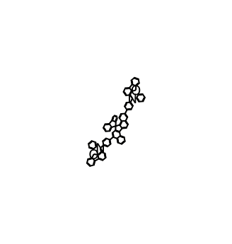 c1ccc(N(c2ccc(-c3ccc4c5c(ccc4c3)-c3c(cc(-c4ccc(N(c6ccccc6)c6cccc7c6oc6ccccc67)cc4)c4ccccc34)C53c4ccccc4-c4ccccc43)cc2)c2cccc3c2oc2ccccc23)cc1